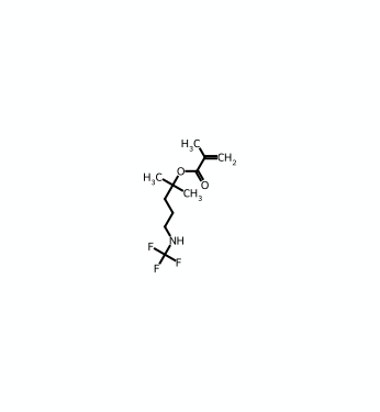 C=C(C)C(=O)OC(C)(C)CCCNC(F)(F)F